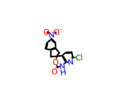 O=C1Nc2nc(Cl)ccc2C2(Cc3ccc([N+](=O)[O-])cc3C2)O1